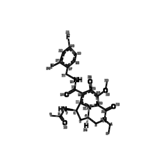 CCN1C[C@H]2C[C@@H](NC(C)=O)c3c(C(=O)NCc4ccc(F)cc4F)c(=O)c(OC)c(n32)C1=O